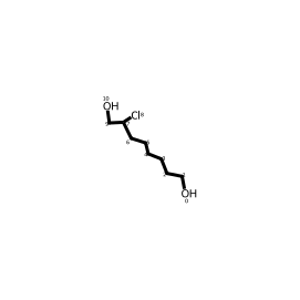 OCCCCCCC(Cl)CO